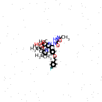 Cc1nnc(C(=O)NCc2nc(C)c(C(OC(C)(C)C)C(=O)O)c(N3CCC(C)(C)CC3)c2-c2ccc(OCCc3ccc(F)cc3)cc2)o1